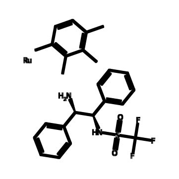 Cc1ccc(C)c(C)c1C.N[C@H](c1ccccc1)[C@H](NS(=O)(=O)C(F)(F)F)c1ccccc1.[Ru]